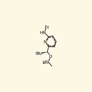 CCNc1cccc([C@@H](O[SiH](C)C)C(C)(C)C)n1